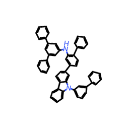 c1ccc(-c2cc(Nc3cc(-c4ccc5c6ccccc6n(-c6cccc(-c7ccccc7)c6)c5c4)ccc3-c3ccccc3)cc(-c3ccccc3)c2)cc1